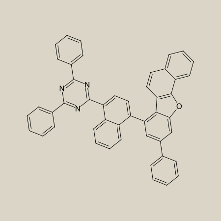 c1ccc(-c2cc(-c3ccc(-c4nc(-c5ccccc5)nc(-c5ccccc5)n4)c4ccccc34)c3c(c2)oc2c4ccccc4ccc23)cc1